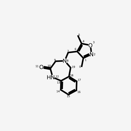 Cc1noc(C)c1CN1CC(=O)Nc2ccccc2C1